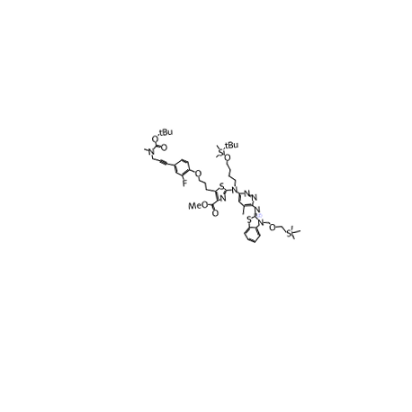 COC(=O)c1nc(N(CCCCO[Si](C)(C)C(C)(C)C)c2cc(C)c(/N=c3\sc4ccccc4n3COCC[Si](C)(C)C)nn2)sc1CCCOc1ccc(C#CCN(C)C(=O)OC(C)(C)C)cc1F